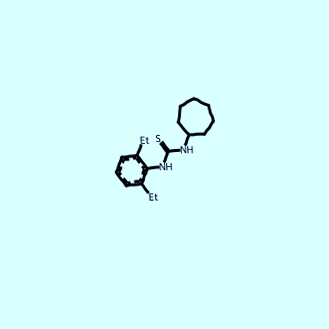 CCc1cccc(CC)c1NC(=S)NC1CCCCCC1